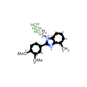 COc1ccc(-c2nc3c(C)cccc3n2C)cc1OC.Cl.Cl.Cl